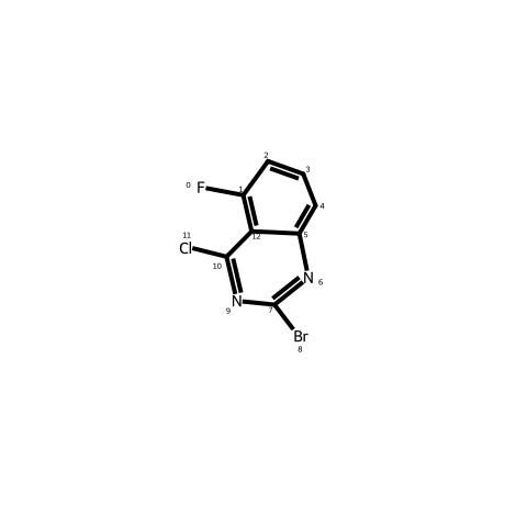 Fc1cccc2nc(Br)nc(Cl)c12